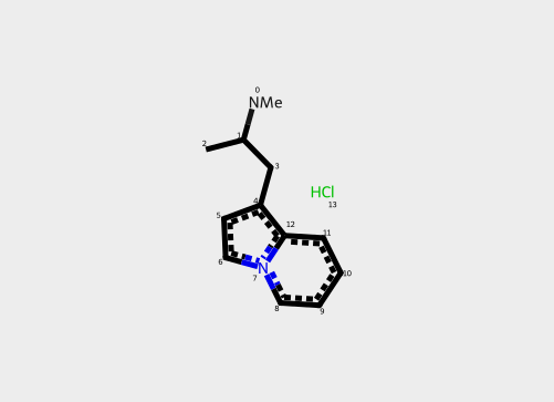 CNC(C)Cc1ccn2ccccc12.Cl